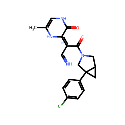 CC1=CNC(=O)/C(=C(/C=N)C(=O)N2CC3CC3(c3ccc(Cl)cc3)C2)N1